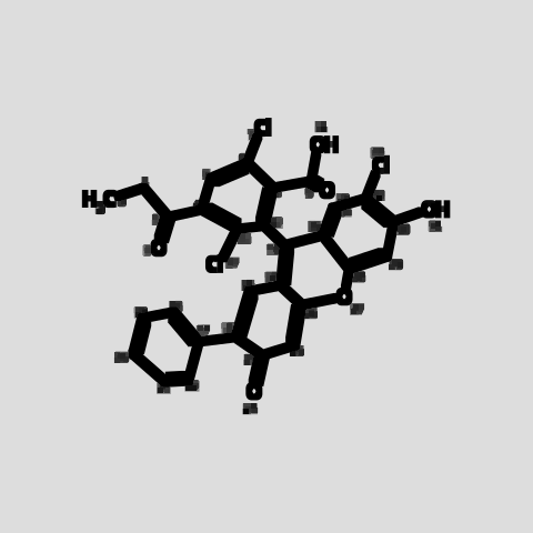 CCC(=O)c1cc(Cl)c(C(=O)O)c(-c2c3cc(-c4ccccc4)c(=O)cc-3oc3cc(O)c(Cl)cc23)c1Cl